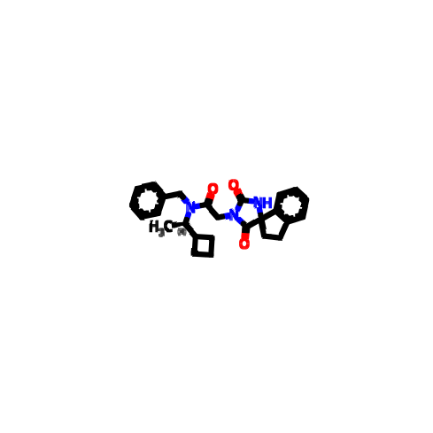 C[C@H](C1CCC1)N(Cc1ccccc1)C(=O)CN1C(=O)NC2(CCc3ccccc32)C1=O